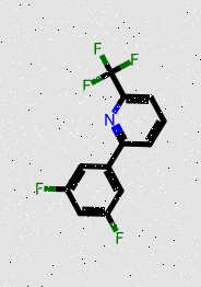 Fc1cc(F)cc(-c2cccc(C(F)(F)F)n2)c1